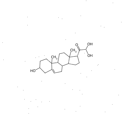 CC12CCC(O)CC1=CCC1C2CCC2(C)C(C(=O)C(O)O)CCC12